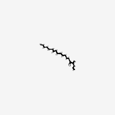 C=CCC(C)C(=O)CCCCCCCCCCCCCC